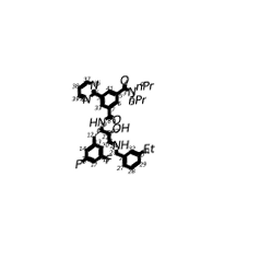 CCCN(CCC)C(=O)c1cc(C(=O)N[C@@H](Cc2cc(F)cc(F)c2)[C@H](O)CNCc2cccc(CC)c2)cc(-c2ncccn2)c1